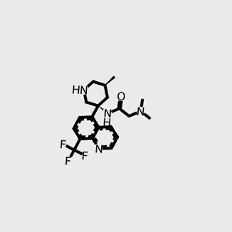 C[C@@H]1CNC[C@](NC(=O)CN(C)C)(c2ccc(C(F)(F)F)c3ncccc23)C1